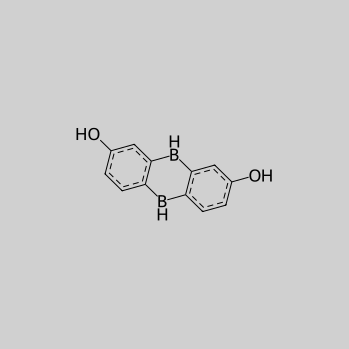 Oc1ccc2c(c1)Bc1cc(O)ccc1B2